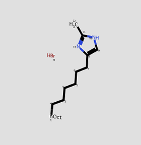 Br.CCCCCCCCCCCCCCc1c[nH]c(C)n1